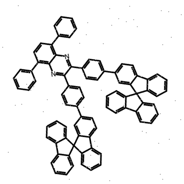 c1ccc(-c2ccc(-c3ccccc3)c3nc(-c4ccc(-c5ccc6c(c5)C5(c7ccccc7-c7ccccc75)c5ccccc5-6)cc4)c(-c4ccc(-c5ccc6c(c5)C5(c7ccccc7-c7ccccc75)c5ccccc5-6)cc4)nc23)cc1